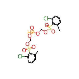 Cc1cccc(Cl)c1S(=O)(=O)OCO[PH](=O)OCOS(=O)(=O)c1c(C)cccc1Cl